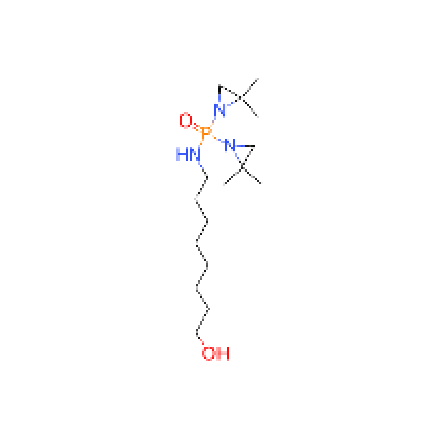 CC1(C)CN1P(=O)(NCCCCCCCCO)N1CC1(C)C